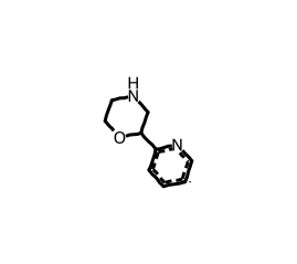 [c]1ccc(C2CNCCO2)nc1